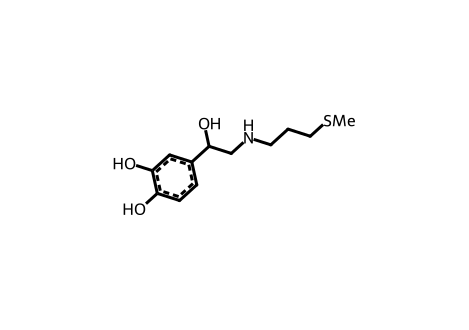 CSCCCNCC(O)c1ccc(O)c(O)c1